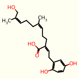 CC(=CCCC(C)=CCCC(=CCc1cc(O)ccc1O)C(=O)O)CO